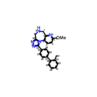 COc1ccc2c(n1)CNCc1nnc(-c3ccc(-c4ccccc4C)cc3)n1-2